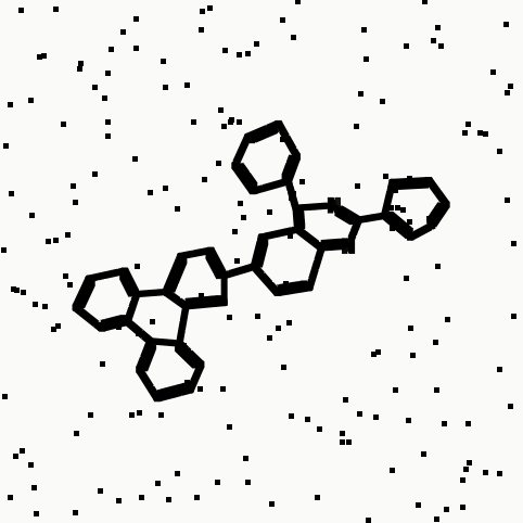 c1ccc(-c2nc(-c3ccccc3)c3cc(-c4ccc5c6ccccc6c6ccccc6c5c4)ccc3n2)cc1